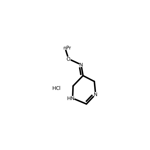 CCCO/N=C1/CN=CNC1.Cl